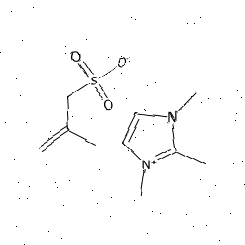 C=C(C)CS(=O)(=O)[O-].Cc1n(C)cc[n+]1C